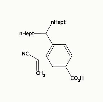 C=CC#N.CCCCCCCC(CCCCCCC)c1ccc(C(=O)O)cc1